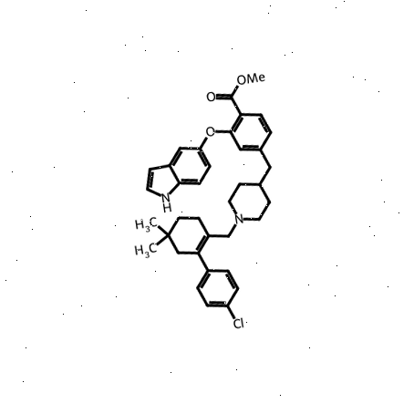 COC(=O)c1ccc(CC2CCN(CC3=C(c4ccc(Cl)cc4)CC(C)(C)CC3)CC2)cc1Oc1ccc2[nH]ccc2c1